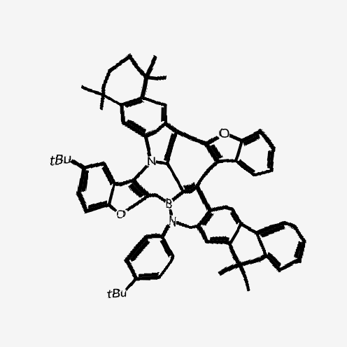 CC(C)(C)c1ccc(N2B3c4oc5ccc(C(C)(C)C)cc5c4-n4c5cc6c(cc5c5c7oc8ccccc8c7c(c3c54)-c3cc4c(cc32)C(C)(C)c2ccccc2-4)C(C)(C)CCC6(C)C)cc1